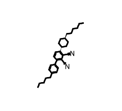 CCCCCC[C@H]1CC[C@H](c2ccc(-c3ccc(CCCCC)cc3)c(C#N)c2C#N)CC1